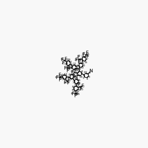 N#Cc1cccc(-c2cc(-n3c4ccc(-c5ccc(C(F)(F)F)cc5C(F)(F)F)cc4c4cc(-c5ccc(C(F)(F)F)cc5C(F)(F)F)ccc43)c(C(F)(F)F)c(-n3c4ccc(-c5ccc(C(F)(F)F)cc5C(F)(F)F)cc4c4cc(-c5ccc(C(F)(F)F)cc5C(F)(F)F)ccc43)c2)c1